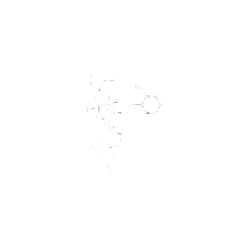 CCCC1(CCC)O[C@H]2O[C@H]([C@H]3COC(CCC)(CCC)O3)[C@H](OCc3ccccc3Br)[C@H]2O1